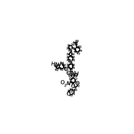 O=C(NS(=O)(=O)c1cc2c(c([N+](=O)[O-])c1)O[C@@H](CN1CCOCC1)CO2)c1ccc(N2CCC3(CC2)CC(N2CCC[C@H]2c2ccccc2C2CC2)C3)cc1Oc1cnc2[nH]ccc2c1